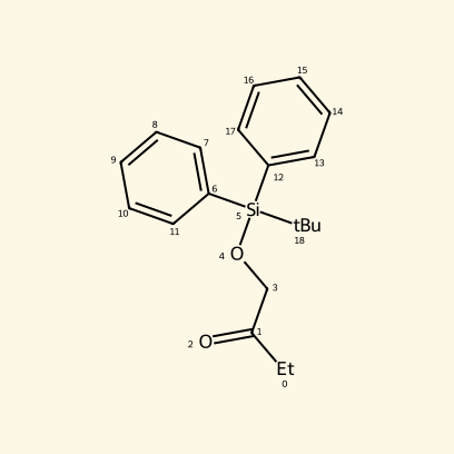 CCC(=O)CO[Si](c1ccccc1)(c1ccccc1)C(C)(C)C